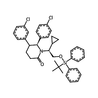 CC(C)(C)[Si](OC[C@H](C1CC1)N1C(=O)CCC(c2cccc(Cl)c2)[C@H]1c1ccc(Cl)cc1)(c1ccccc1)c1ccccc1